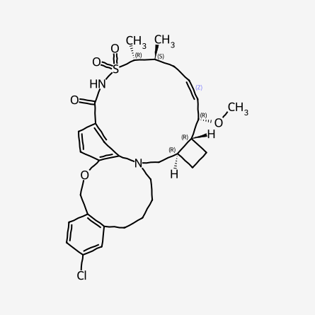 CO[C@H]1/C=C\C[C@H](C)[C@@H](C)S(=O)(=O)NC(=O)c2ccc3c(c2)N(CCCCc2cc(Cl)ccc2CO3)C[C@@H]2CC[C@H]21